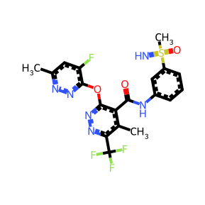 Cc1cc(F)c(Oc2nnc(C(F)(F)F)c(C)c2C(=O)Nc2cccc(S(C)(=N)=O)c2)nn1